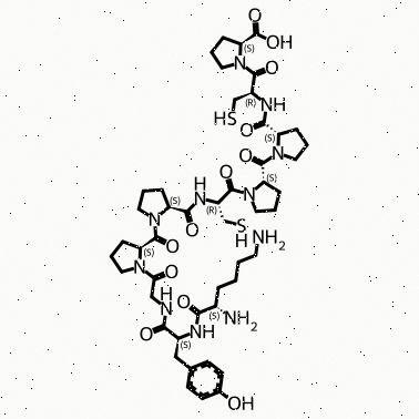 NCCCC[C@H](N)C(=O)N[C@@H](Cc1ccc(O)cc1)C(=O)NCC(=O)N1CCC[C@H]1C(=O)N1CCC[C@H]1C(=O)N[C@@H](CS)C(=O)N1CCC[C@H]1C(=O)N1CCC[C@H]1C(=O)N[C@@H](CS)C(=O)N1CCC[C@H]1C(=O)O